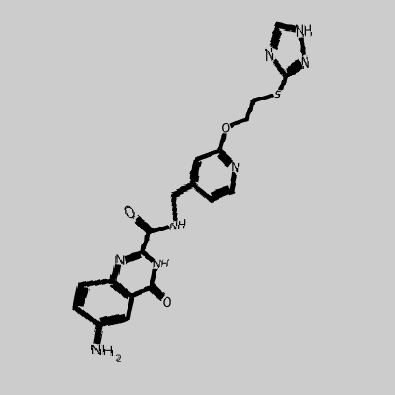 Nc1ccc2nc(C(=O)NCc3ccnc(OCCSc4nc[nH]n4)c3)[nH]c(=O)c2c1